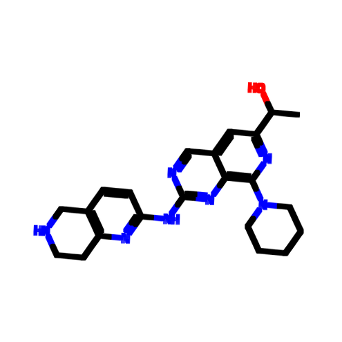 CC(O)c1cc2cnc(Nc3ccc4c(n3)CCNC4)nc2c(N2CCCCC2)n1